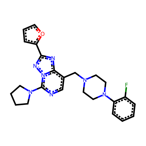 Fc1ccccc1N1CCN(Cc2cnc(N3CCCC3)n3nc(-c4ccco4)nc23)CC1